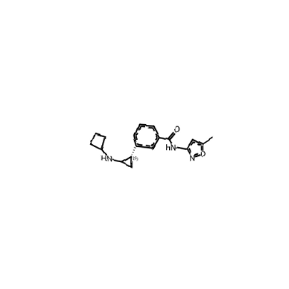 Cc1cc(NC(=O)c2cccc([C@@H]3CC3NC3CCC3)c2)no1